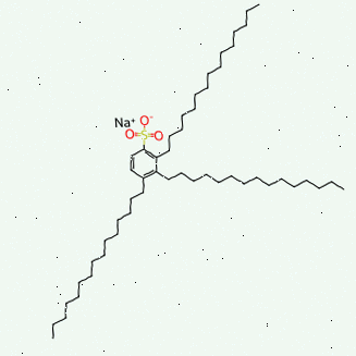 CCCCCCCCCCCCCCCc1ccc(S(=O)(=O)[O-])c(CCCCCCCCCCCCCCC)c1CCCCCCCCCCCCCCC.[Na+]